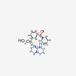 C1CN=C2NCCCN2C1.CC(C(=O)O)c1cccc(C(=O)c2ccccc2)c1